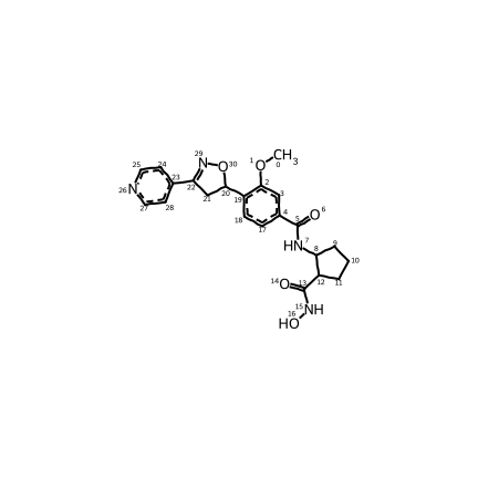 COc1cc(C(=O)NC2CCCC2C(=O)NO)ccc1C1CC(c2ccncc2)=NO1